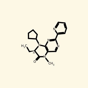 CC[C@@H]1C(=O)N(C)c2cnc(-c3ccccn3)nc2N1C1CCCC1